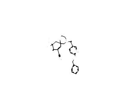 CC1(C)CC2(C=C(C#N)C1=O)CN(C(=O)c1ccc(OCc3ccccc3)nc1)CCO2